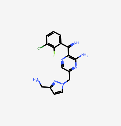 N=C(c1cccc(Cl)c1F)c1ncc(Cn2ccc(CN)n2)nc1N